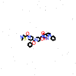 Cc1ncc(C(=O)N2CC[C@@H](C(=O)N3CCC(O)(Cn4cnc5c(ccn5-c5ccccc5)c4=O)CC3)[C@H](c3ccccc3)C2)s1